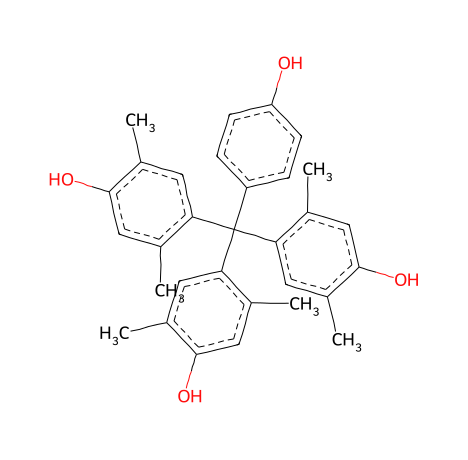 Cc1cc(C(c2ccc(O)cc2)(c2cc(C)c(O)cc2C)c2cc(C)c(O)cc2C)c(C)cc1O